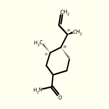 C=C[C@@H](C)[C@@H]1CCC(C(N)=O)C[C@@H]1C